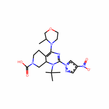 CC1COCCN1C1=C2CCN(C(=O)O)CC2N(C(C)(C)C)C(n2cc([N+](=O)[O-])cn2)=N1